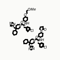 COCCOC1CCC(N[C@H](Cc2ccc(Cl)cc2)C(=O)N2CCC(Cn3cncn3)(C3CCCCC3)CC2)CC1.O=C([C@@H](Cc1ccc(Cl)cc1)N[C@H]1CC[C@H](N2CCCC2=O)CC1)N1CCC(Cn2cncn2)(C2CCCCC2)CC1